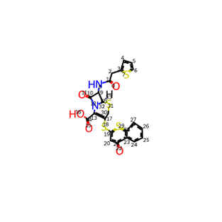 O=C(Cc1cccs1)NC1C(=O)N2C(C(=O)O)=C(Sc3cc(=O)c4ccccc4s3)CS[C@H]12